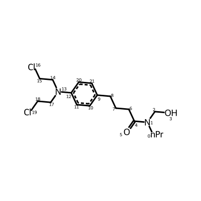 CCCN(CO)C(=O)CCCc1ccc(N(CCCl)CCCl)cc1